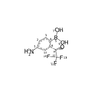 Nc1ccc(B(O)O)c(C(=O)C(F)(F)F)c1